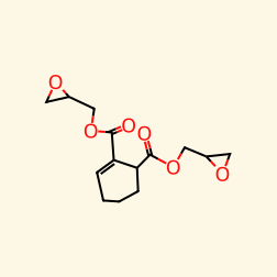 O=C(OCC1CO1)C1=CCCCC1C(=O)OCC1CO1